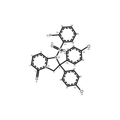 O=c1cccc2n1CC(c1ccc(Cl)cc1)(c1ccc(Cl)cc1)N2S(=O)(=O)c1ccccc1F